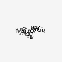 CC(C)(C)OC(=O)c1ccc([C@@H]2CN(C(=O)OC(C)(C)C)CC[C@H]2CBr)cc1